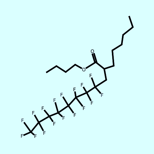 CCCCCCC(CC(F)(F)C(F)(F)C(F)(F)C(F)(F)C(F)(F)C(F)(F)C(F)(F)C(F)(F)F)C(=O)OCCCC